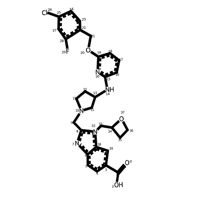 O=C(O)c1ccc2nc(CN3CCC(Nc4cccc(OCc5ccc(Cl)cc5F)n4)C3)n(CC3CCO3)c2c1